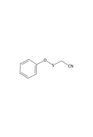 N#CCSOc1ccccc1